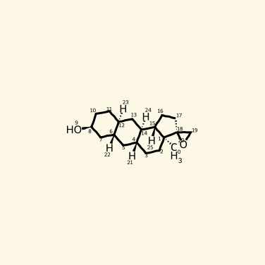 C[C@]12CC[C@@H]3C[C@@H]4C[C@@H](O)CC[C@H]4C[C@H]3[C@@H]1CC[C@@]21CO1